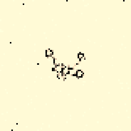 CC(C)C[C@H](NC(=O)C=Cc1ccccc1)C(=O)N[C@@H](Cc1ccccc1)C(=O)CSCc1ccco1